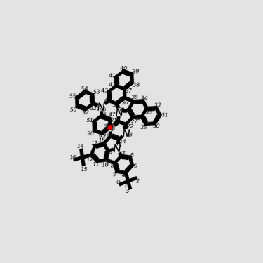 CC(C)(C)c1ccc2c(c1)c1cc(C(C)(C)C)cc3c4nc5c(nc4n2c13)c1c2ccccc2cc2c3c4ccccc4cc(N(c4ccccc4)c4ccccc4)c3n5c21